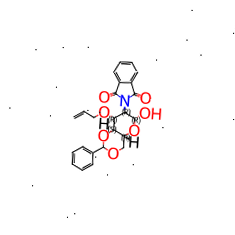 C=CCO[C@H]1[C@@H]2OC(c3ccccc3)OC[C@H]2O[C@@H](O)[C@@H]1N1C(=O)c2ccccc2C1=O